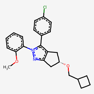 COc1ccccc1-n1nc2c(c1-c1ccc(Cl)cc1)C[C@H](OCC1CCC1)C2